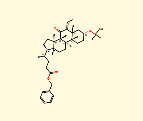 C/C=C1/C(=O)[C@@H]2[C@H](CC[C@]3(C)[C@@H]([C@H](C)CCC(=O)OCc4ccccc4)CC[C@@H]23)[C@@]2(C)CC[C@@H](O[Si](C)(C)C(C)(C)C)C[C@@H]12